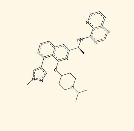 CC(C)N1CCC(Oc2nc([C@H](C)Nc3ncnc4cccnc34)cc3cccc(-c4cnn(C)c4)c23)CC1